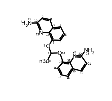 CCCCC(Oc1cccc2ccc(N)nc12)Oc1cccc2ccc(N)nc12